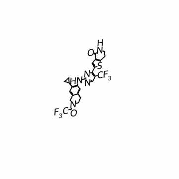 O=C1NCCc2sc(-c3nc(Nc4cc5c(cc4C4CC4)CN(C(=O)C(F)(F)F)CC5)ncc3C(F)(F)F)cc21